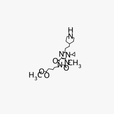 COC(=O)CCCCn1c(=O)c2nc(CCC3CCNCC3)n(C3CC3)c2n(C)c1=O